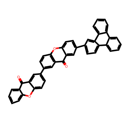 O=c1c2ccccc2oc2ccc(-c3ccc4oc5ccc(-c6ccc7c8ccccc8c8ccccc8c7c6)cc5c(=O)c4c3)cc12